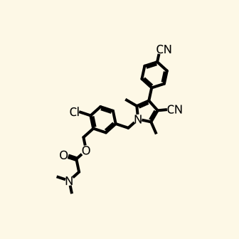 Cc1c(C#N)c(-c2ccc(C#N)cc2)c(C)n1Cc1ccc(Cl)c(COC(=O)CN(C)C)c1